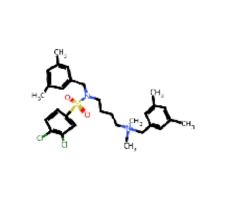 Cc1cc(C)cc(CN(CCCC[N+](C)(C)Cc2cc(C)cc(C)c2)S(=O)(=O)c2ccc(Cl)c(Cl)c2)c1